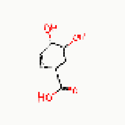 O=C(O)C1C=CC(O)C(O)C1